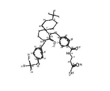 CC(C)(C)[C@H]1CC[C@@]2(CCN(c3ccc(OC(F)(F)F)cc3)C(=O)N2Cc2ccc(C(=O)NCCC(=O)O)cc2)CC1